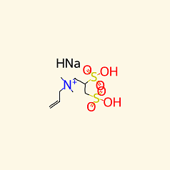 C=CC[N+](C)(C)CC(CS(=O)(=O)O)S(=O)(=O)O.[NaH]